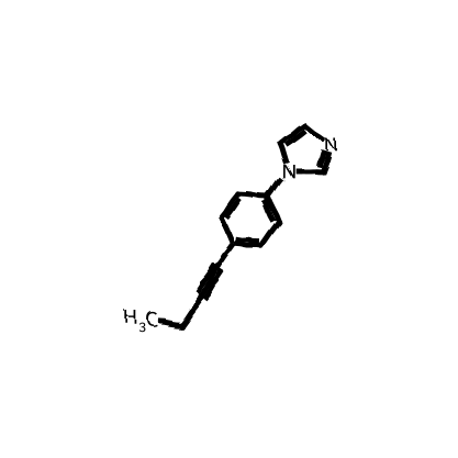 CCC#Cc1ccc(-n2ccnc2)cc1